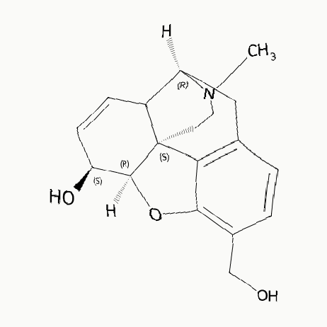 CN1CC[C@]23c4c5ccc(CO)c4O[C@H]2[C@@H](O)C=CC3[C@H]1C5